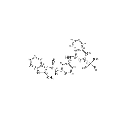 Cn1nc2ccccc2c1C(=O)Nc1cccc(Nc2cc(C(F)(F)F)nc3ccccc23)c1